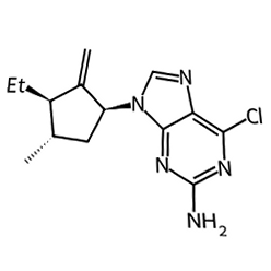 C=C1[C@H](CC)[C@@H](C)C[C@@H]1n1cnc2c(Cl)nc(N)nc21